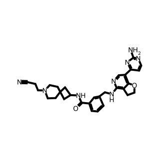 N#CCCN1CCC2(CC1)CC(NC(=O)c1cccc(CNc3ncc(-c4ccnc(N)n4)c4c3CCO4)c1)C2